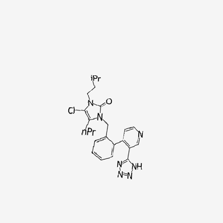 CCCc1c(Cl)n(CCC(C)C)c(=O)n1Cc1ccccc1-c1ccncc1-c1nnn[nH]1